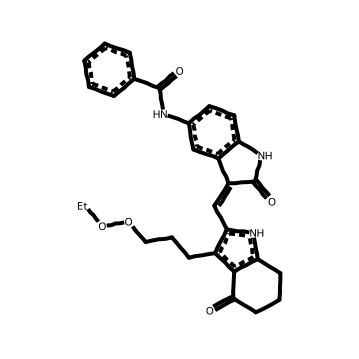 CCOOCCCc1c(/C=C2\C(=O)Nc3ccc(NC(=O)c4ccccc4)cc32)[nH]c2c1C(=O)CCC2